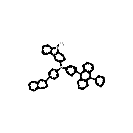 Cn1c2ccccc2c2cc(N(c3ccc(-c4ccc5ccccc5c4)cc3)c3ccc(-c4c5ccccc5c(-c5ccccc5)c5ccccc45)cc3)ccc21